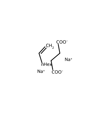 C=CCCCCCC.O=C([O-])CCC(=O)[O-].[Na+].[Na+]